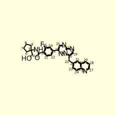 O=C(NC1(CO)CCCC1)c1ccc(-c2cnc3ncc(Cc4ccc5ncccc5c4)n3n2)cc1F